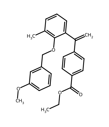 C=C(c1ccc(C(=O)OCC)cc1)c1cccc(C)c1OCc1cccc(OC)c1